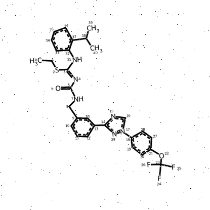 CCS/C(=N\C(=O)NCc1cccc(-c2ncn(-c3ccc(OC(F)(F)F)cc3)n2)c1)Nc1ccccc1C(C)C